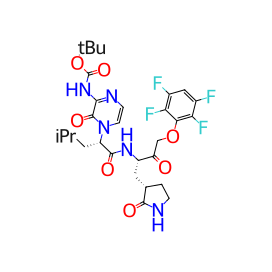 CC(C)C[C@@H](C(=O)N[C@@H](C[C@@H]1CCNC1=O)C(=O)COc1c(F)c(F)cc(F)c1F)n1ccnc(NC(=O)OC(C)(C)C)c1=O